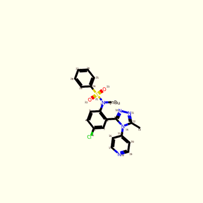 CCCCN(c1ccc(Cl)cc1-c1nnc(C)n1-c1ccncc1)S(=O)(=O)c1ccccc1